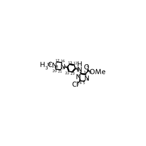 COC(=O)c1ncc(Cl)nc1Nc1ccc(N2CCN(C)CC2)cc1